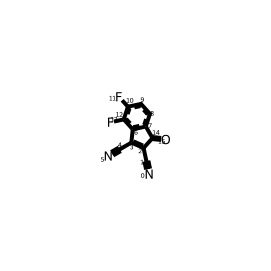 N#CC1=C(C#N)c2c(ccc(F)c2F)C1=O